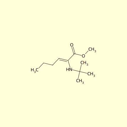 CCCC=C(NC(C)(C)C)C(=O)OC